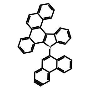 c1cc2cc(-n3c4ccccc4c4c5c6ccccc6ccc5c5ccccc5c43)c3ccccc3c2cc#1